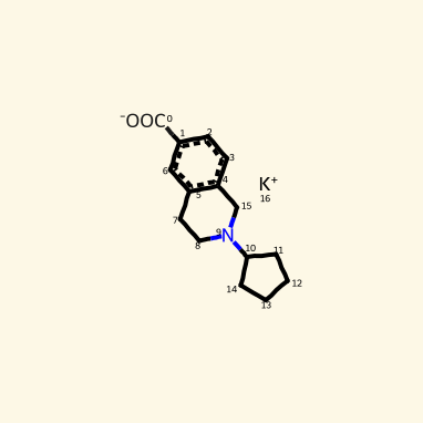 O=C([O-])c1ccc2c(c1)CCN(C1CCCC1)C2.[K+]